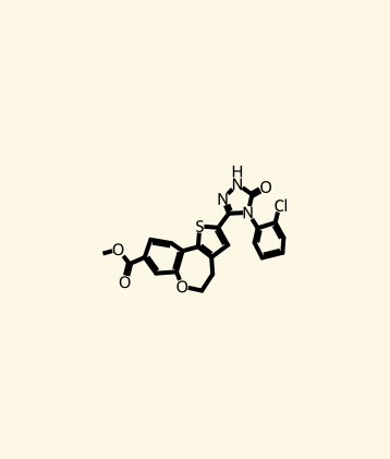 COC(=O)c1ccc2c(c1)OCCc1cc(-c3n[nH]c(=O)n3-c3ccccc3Cl)sc1-2